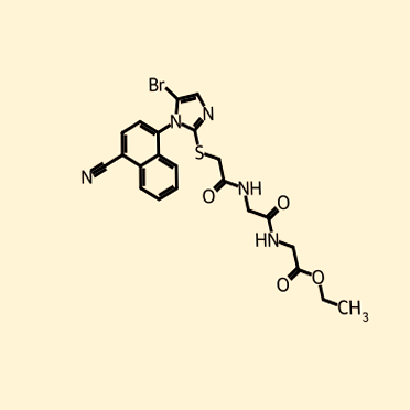 CCOC(=O)CNC(=O)CNC(=O)CSc1ncc(Br)n1-c1ccc(C#N)c2ccccc12